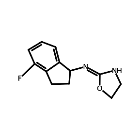 Fc1cccc2c1CCC2N=C1NCCO1